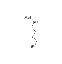 CSNCCOCC(C)C